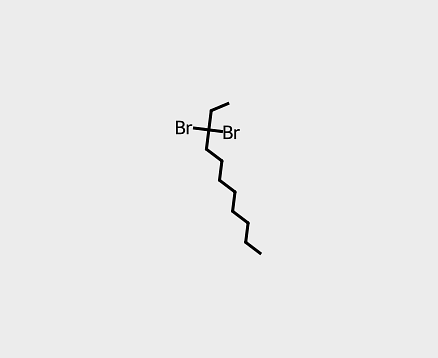 CCCCCCCCC(Br)(Br)CC